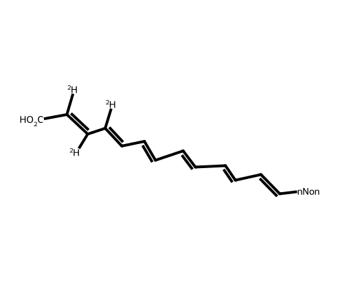 [2H]C(=CC=CC=CC=CC=CCCCCCCCCC)C([2H])=C([2H])C(=O)O